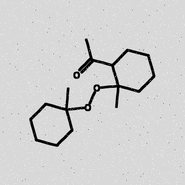 CC(=O)C1CCCCC1(C)OOC1(C)CCCCC1